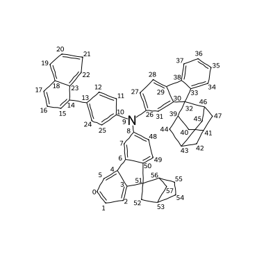 c1ccc2c(c1)-c1cc(N(c3ccc(-c4cccc5ccccc45)cc3)c3ccc4c(c3)C3(c5ccccc5-4)C4CC5CC(C4)CC3C5)ccc1C21CC2CCC1C2